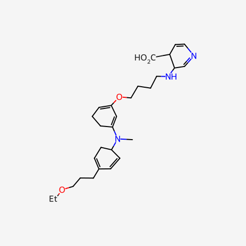 CCOCCCC1=CCC(N(C)C2=CC(OCCCCNC3C=NC=CC3C(=O)O)=CCC2)C=C1